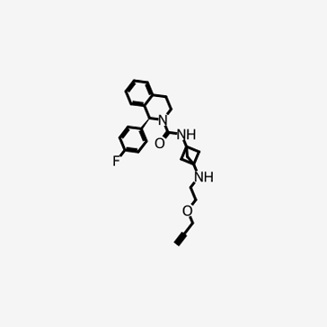 C#CCOCCNC12CC(NC(=O)N3CCc4ccccc4[C@@H]3c3ccc(F)cc3)(C1)C2